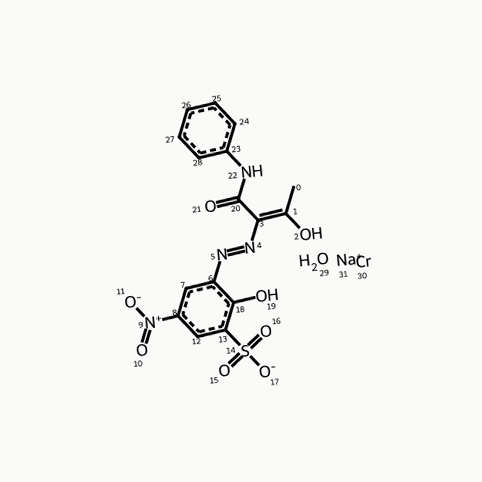 C/C(O)=C(/N=N/c1cc([N+](=O)[O-])cc(S(=O)(=O)[O-])c1O)C(=O)Nc1ccccc1.O.[Cr].[Na+]